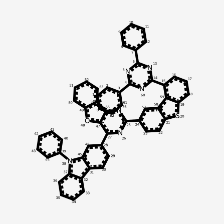 c1ccc(-c2nc(-c3ccccc3)nc(-c3cccc4sc5ccc(-c6nc(-c7ccc8c9ccccc9n(-c9ccccc9)c8c7)c7oc8ccccc8c7n6)cc5c34)n2)cc1